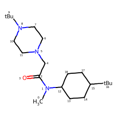 CN(C(=O)CN1CCN(C(C)(C)C)CC1)C1CCC(C(C)(C)C)CC1